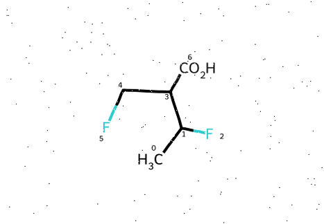 CC(F)C(CF)C(=O)O